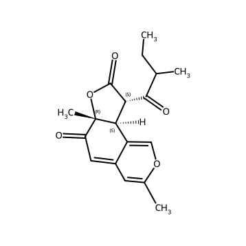 CCC(C)C(=O)[C@H]1C(=O)O[C@@]2(C)C(=O)C=C3C=C(C)OC=C3[C@H]12